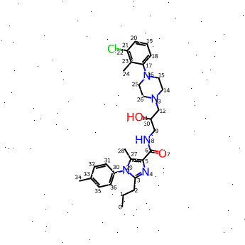 CCCc1nc(C(=O)NCC(O)CN2CCN(c3cccc(Cl)c3C)CC2)c(C)n1-c1ccc(C)cc1